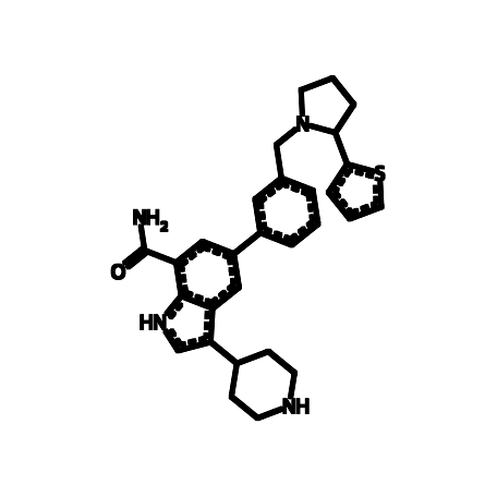 NC(=O)c1cc(-c2cccc(CN3CCCC3c3cccs3)c2)cc2c(C3CCNCC3)c[nH]c12